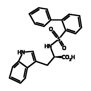 O=C(O)[C@@H](Cc1c[nH]c2ccccc12)NS(=O)(=O)c1ccccc1-c1ccccc1